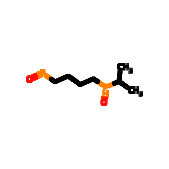 CC(C)[PH](=O)CCCCP=O